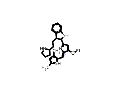 CCOC1=CC(C2Nc3ccccc3C2CCC2CCCN2)=N/C1=C\c1[nH]c(C)cc1C